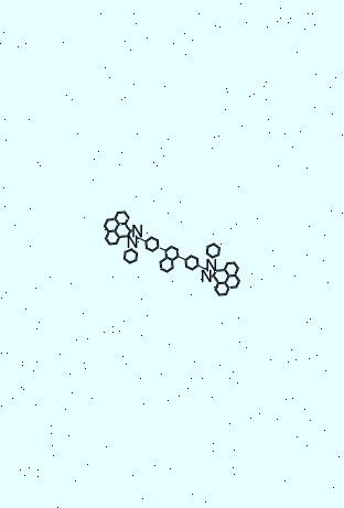 c1ccc(-n2c(-c3ccc(-c4ccc(-c5ccc(-c6nc7c8cccc9ccc%10cccc(c%10c98)c7n6-c6ccccc6)cc5)c5ccccc45)cc3)nc3c4cccc5ccc6cccc(c6c54)c32)cc1